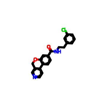 O=C(NCCc1cccc(Cl)c1)c1ccc2c(c1)OCc1cnccc1-2